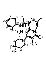 Cc1cn2c(=O)c(C#N)c(N3CCC(F)(F)CC3)nc2c([C@@H](C)Nc2ccccc2C(=O)O)n1